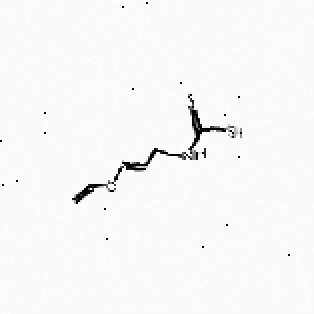 C=COC=CCNC(=S)S